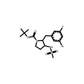 CC(C)(C)OC(=O)N1CCC(NS(C)(=O)=O)C1Cc1cc(F)cc(Br)c1